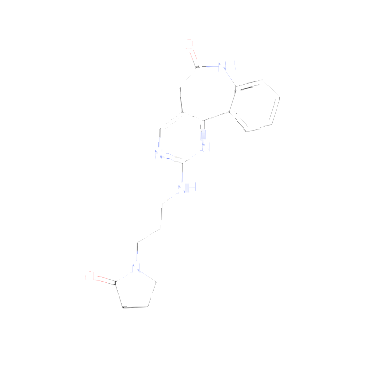 O=C1Cc2cnc(NCCCN3CCCC3=O)nc2-c2ccccc2N1